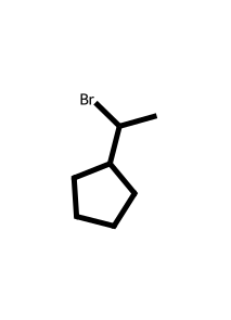 CC(Br)C1CCCC1